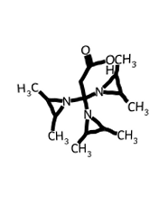 CC1C(C)N1C(CC(=O)O)(N1C(C)C1C)N1C(C)C1C